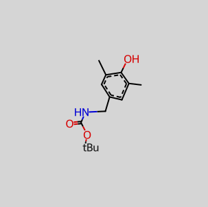 Cc1cc(CNC(=O)OC(C)(C)C)cc(C)c1O